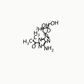 [2H][C@]1(O)C[C@H](n2cnc3c(N)nc(C(=O)C(C)C)nc32)O[C@@H]1CO